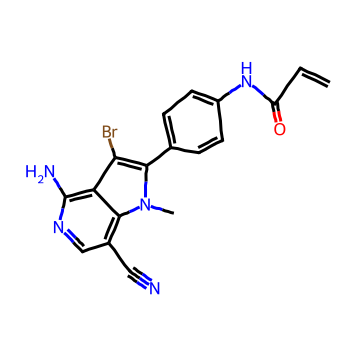 C=CC(=O)Nc1ccc(-c2c(Br)c3c(N)ncc(C#N)c3n2C)cc1